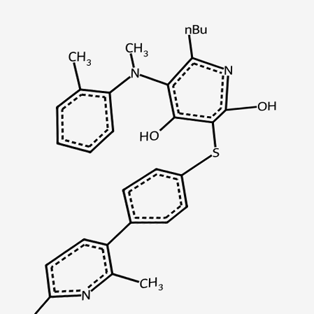 CCCCc1nc(O)c(Sc2ccc(-c3ccc(F)nc3C)cc2)c(O)c1N(C)c1ccccc1C